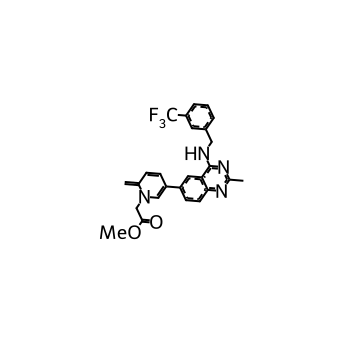 C=C1C=CC(c2ccc3nc(C)nc(NCc4cccc(C(F)(F)F)c4)c3c2)=CN1CC(=O)OC